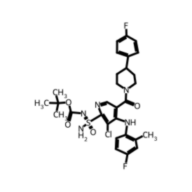 Cc1cc(F)ccc1Nc1c(C(=O)N2CCC(c3ccc(F)cc3)CC2)cnc(S(N)(=O)=NC(=O)OC(C)(C)C)c1Cl